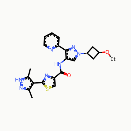 CCO[C@H]1C[C@@H](n2cc(NC(=O)c3csc(-c4c(C)n[nH]c4C)n3)c(-c3ccccn3)n2)C1